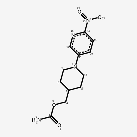 NC(=O)OCC1CCN(c2ccc([N+](=O)[O-])nc2)CC1